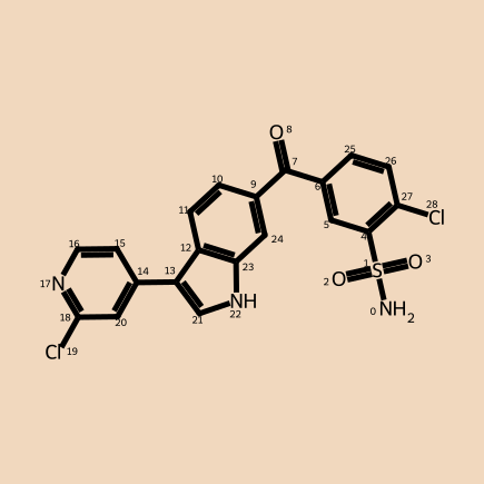 NS(=O)(=O)c1cc(C(=O)c2ccc3c(-c4ccnc(Cl)c4)c[nH]c3c2)ccc1Cl